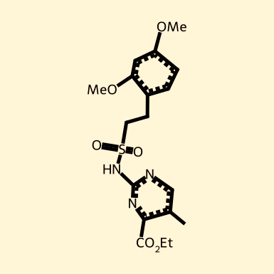 CCOC(=O)c1nc(NS(=O)(=O)CCc2ccc(OC)cc2OC)ncc1C